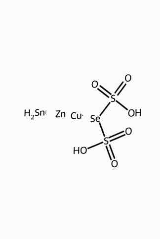 O=S(=O)(O)[Se]S(=O)(=O)O.[Cu].[SnH2].[Zn]